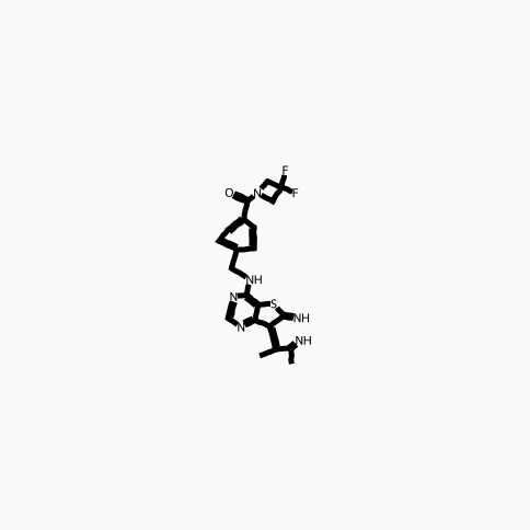 CC(=N)/C(C)=C1\C(=N)Sc2c(NCc3ccc(C(=O)N4CC(F)(F)C4)cc3)ncnc21